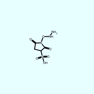 NNON1C(=O)CC(S(=O)(=O)O)C1=O